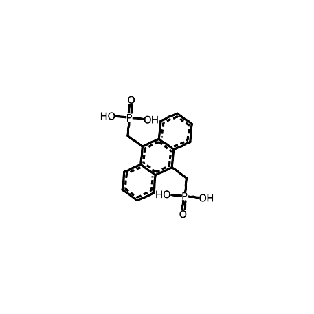 O=P(O)(O)Cc1c2ccccc2c(CP(=O)(O)O)c2ccccc12